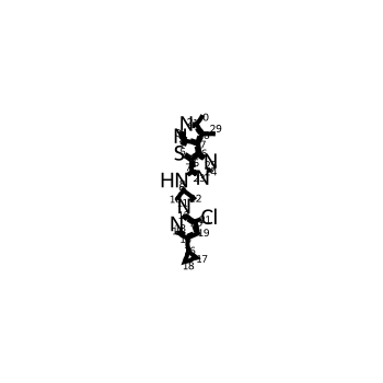 Cc1nnc2sc3c(NC4CN(c5ncc(C6CC6)cc5Cl)C4)ncnc3c2c1C